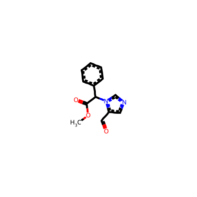 COC(=O)C(c1ccccc1)n1cncc1C=O